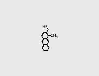 Cc1c(CS)ccc2cc3ccccc3cc12